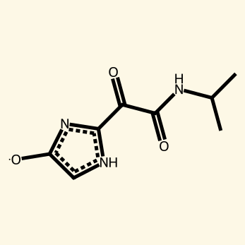 CC(C)NC(=O)C(=O)c1nc([O])c[nH]1